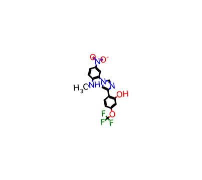 CNc1ccc([N+](=O)[O-])cc1-n1cnc(-c2ccc(OC(F)(F)F)cc2O)c1